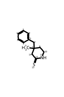 CC1(Cc2ccccc2)CCNC(=S)C1